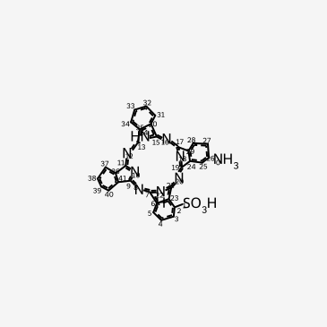 N.O=S(=O)(O)c1cccc2c3nc4nc(nc5[nH]c(nc6nc(nc([nH]3)c12)-c1ccccc1-6)c1ccccc51)-c1ccccc1-4